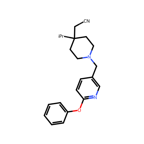 CC(C)C1(CC#N)CCN(Cc2ccc(Oc3ccccc3)nc2)CC1